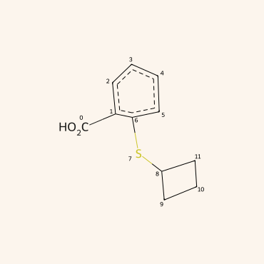 O=C(O)c1ccccc1SC1CCC1